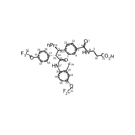 CCC[C@@H](c1ccc(C(=O)NCCC(=O)O)cc1)[C@H](C(=O)Nc1ccc(OC(F)(F)F)cc1F)c1ccc(OC(F)(F)F)cc1